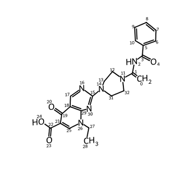 C=C(NC(=O)c1ccccc1)N1CCN(c2ncc3c(=O)c(C(=O)O)cn(CC)c3n2)CC1